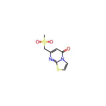 CS(=O)(=O)Cc1cc(=O)n2ccsc2n1